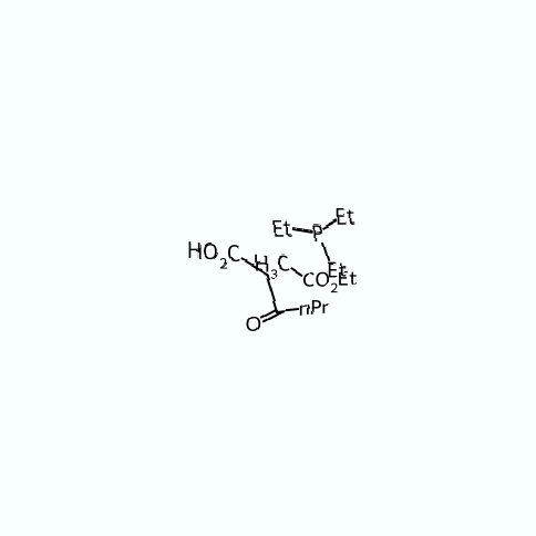 CCCC(=O)CC(=O)O.CCOC(C)=O.CCP(CC)CC